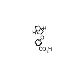 O=C(O)c1cccc(O[C@@H]2C[C@@H]3CC[C@@H](C3)C2)c1